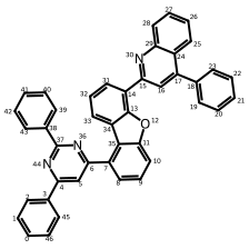 c1ccc(-c2cc(-c3cccc4oc5c(-c6cc(-c7ccccc7)c7ccccc7n6)cccc5c34)nc(-c3ccccc3)n2)cc1